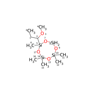 CCC(OC)[Si]1(C)O[SiH2]O[Si](C)(C)O[Si](C)(C)O1